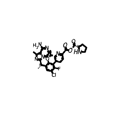 Cc1nc([C@@H](C)c2cc(Cl)c(F)c(-c3ccc(C(=O)OC(=O)[C@@H]4CCCN4)nc3)c2OC(C)C)n2ccnc(N)c12